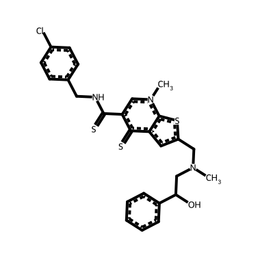 CN(Cc1cc2c(=S)c(C(=S)NCc3ccc(Cl)cc3)cn(C)c2s1)CC(O)c1ccccc1